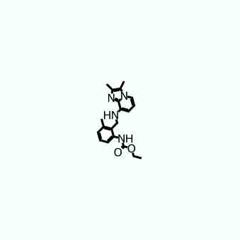 CCOC(=O)Nc1cccc(C)c1CNc1cccn2c(C)c(C)nc12